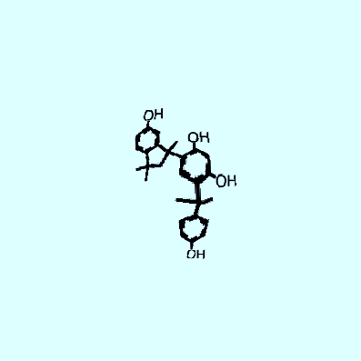 CC1(C)CC(C)(c2cc(C(C)(C)c3ccc(O)cc3)c(O)cc2O)c2cc(O)ccc21